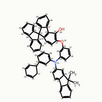 CC1(C)c2ccccc2-c2ccc(N(c3cccc(Oc4ccc5c(c4O)-c4ccccc4C54c5ccccc5-c5ccccc54)c3)c3cccc(C4C=CC=CC4)c3)cc21